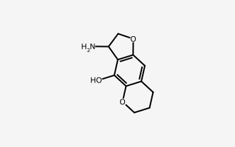 NC1COc2cc3c(c(O)c21)OCCC3